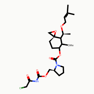 COC1C(OC(=O)N2CCC[C@H]2COC(=O)NC(=O)CCl)CC[C@]2(CO2)C1[C@H](C)OCC=C(C)C